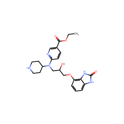 CCOC(=O)c1ccc(N(CC(O)COc2cccc3[nH]c(=O)[nH]c23)C2CCNCC2)nc1